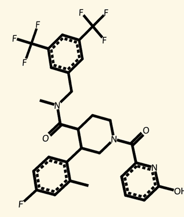 Cc1cc(F)ccc1C1CN(C(=O)c2cccc(O)n2)CCC1C(=O)N(C)Cc1cc(C(F)(F)F)cc(C(F)(F)F)c1